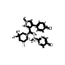 C[C@@H]1CC(F)(F)CN(C(=O)c2nn(C)cc2-c2ccc(Cl)cc2)[C@@H]1CNc1ncc(Cl)cn1